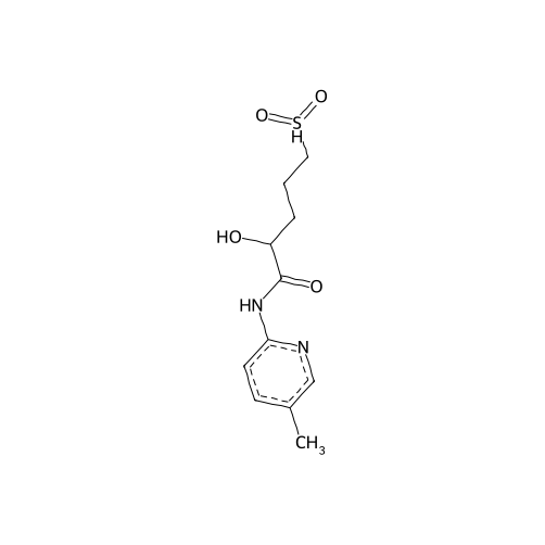 Cc1ccc(NC(=O)C(O)CCC[SH](=O)=O)nc1